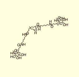 CC(=O)NC1C(OCCCC(=O)NCCCCCCNOCCCC(C)(CCCO)CCCOC(=O)NCCCCCCNC(=O)CCCOC2OC(CO)C(O)C(O)C2NC(C)=O)OC(CO)C(O)C1O